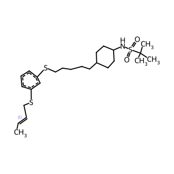 C/C=C/CSc1cccc(SCCCCCC2CCC(NS(=O)(=O)C(C)(C)C)CC2)c1